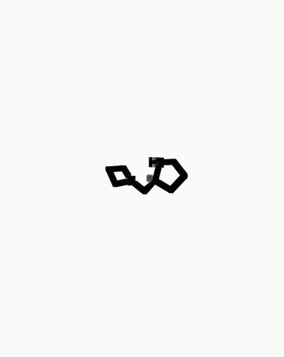 C1CN[C@H](CN2CCC2)C1